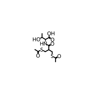 CC(=O)SCC(CSC(C)=O)C(=O)N[C@H](C(=O)O)C(C)O